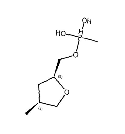 C[C@@H]1CO[C@H](CO[PH](C)(O)O)C1